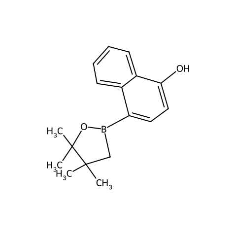 CC1(C)CB(c2ccc(O)c3ccccc23)OC1(C)C